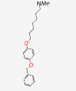 CNCCCCCCCOc1ccc(OCc2ccccc2)cc1